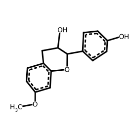 COc1ccc2c(c1)OC(c1ccc(O)cc1)C(O)C2